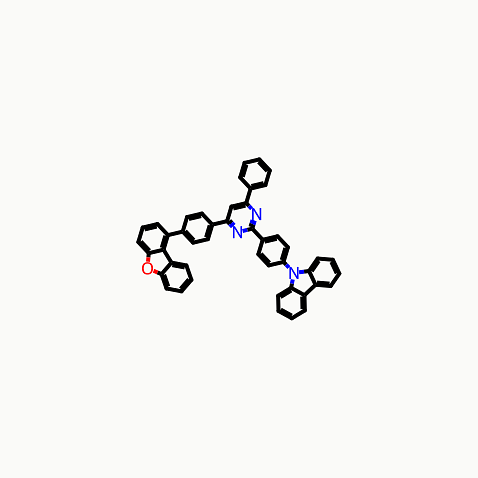 c1ccc(-c2cc(-c3ccc(-c4cccc5oc6ccccc6c45)cc3)nc(-c3ccc(-n4c5ccccc5c5ccccc54)cc3)n2)cc1